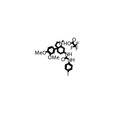 COc1ccc(C23CCC(NC(=O)Nc4ccc(I)cc4)CC2N(C)CC3)cc1OC.O=C(O)C(F)(F)F